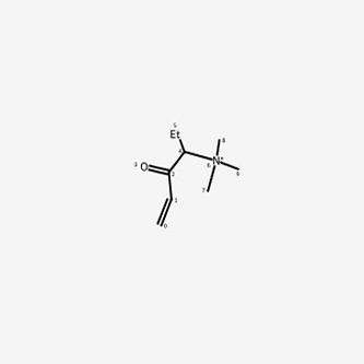 C=CC(=O)C(CC)[N+](C)(C)C